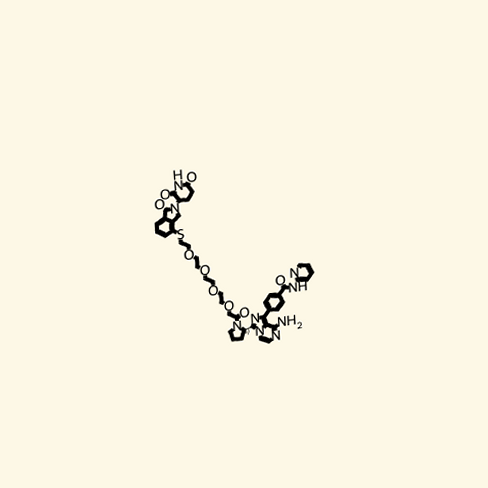 Nc1nccn2c([C@@H]3CCCN3C(=O)COCCOCCOCCOCCSc3cccc4c3CN(C3CCC(=O)NC3=O)C4=O)nc(-c3ccc(C(=O)Nc4ccccn4)cc3)c12